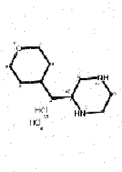 C1CN[C@@H](CC2CCOCC2)CN1.Cl.Cl